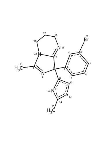 CC1=NC(c2cccc(Br)c2)(c2csc(C)n2)C2=NCCCN12